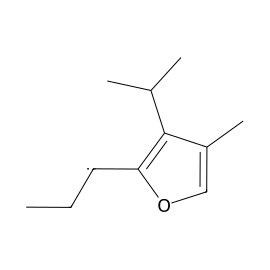 CC[CH]c1occ(C)c1C(C)C